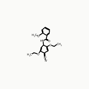 CCOC1=CC(NC(=O)c2ccccc2OC)C(OCC)=CC1=[N+]=[N-]